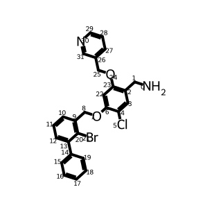 NCc1cc(Cl)c(OCc2cccc(-c3ccccc3)c2Br)cc1OCc1cccnc1